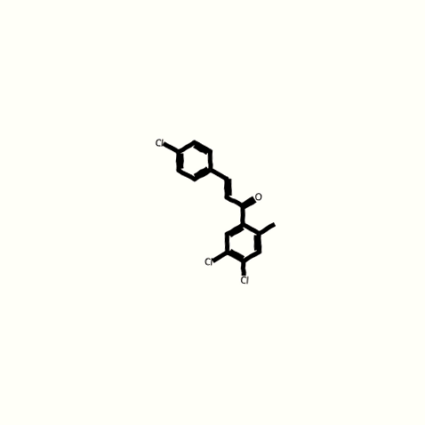 Cc1cc(Cl)c(Cl)cc1C(=O)C=Cc1ccc(Cl)cc1